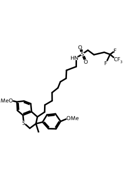 COc1ccc(C2(C)CSc3cc(OC)ccc3C2CCCCCCCCCNS(=O)(=O)CCCC(F)(F)C(F)(F)F)cc1